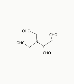 O=CCC(C=O)N(CC=O)CC=O